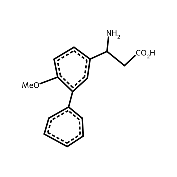 COc1ccc(C(N)CC(=O)O)cc1-c1ccccc1